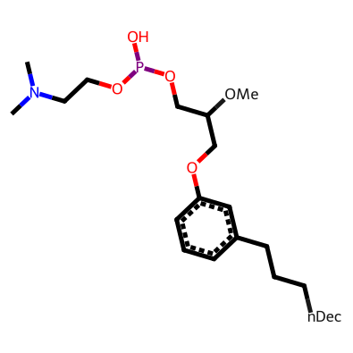 CCCCCCCCCCCCCc1cccc(OCC(COP(O)OCCN(C)C)OC)c1